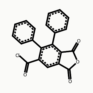 O=C1OC(=O)c2c1cc(C(=O)Cl)c(-c1ccccc1)c2-c1ccccc1